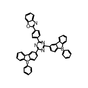 c1ccc(B2c3ccccc3-c3cc(-c4nc(-c5ccc(-c6nc7ccccc7o6)cc5)nc(-c5ccc6c(c5)-c5ccccc5B6c5ccccc5)n4)ccc32)cc1